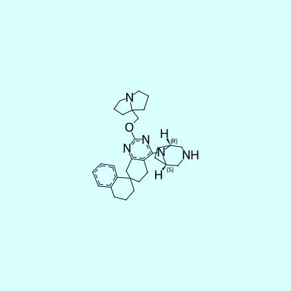 c1ccc2c(c1)CCCC21CCc2c(nc(OCC34CCCN3CCC4)nc2N2[C@@H]3CC[C@H]2CNC3)C1